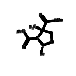 COC(=O)N1[C@@H](C(C)C)OC[C@@]1(C)C(=O)OC